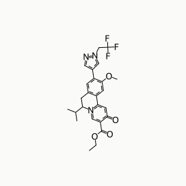 CCOC(=O)c1cn2c(cc1=O)-c1cc(OC)c(-c3cnn(CC(F)(F)F)c3)cc1CC2C(C)C